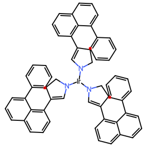 C1=C(c2cccc3cccc(-c4ccccc4)c23)CC[N]1[Ir]([N]1C=C(c2cccc3cccc(-c4ccccc4)c23)CC1)[N]1C=C(c2cccc3cccc(-c4ccccc4)c23)CC1